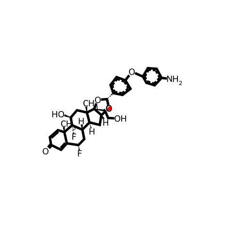 C[C@]12C=CC(=O)C=C1[C@@H](F)C[C@H]1[C@@H]3C[C@H]4O[C@@H](c5ccc(Oc6ccc(N)cc6)cc5)O[C@@]4(C(=O)CO)[C@@]3(C)C[C@H](O)[C@@]12F